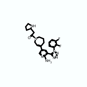 Nc1ncc(C2=CCN(C(=O)CC3CCCN3)CCC2)cc1-c1nnnn1-c1cccc(F)c1F